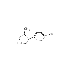 CC1CNCC1c1ccc(C(C)(C)C)cc1